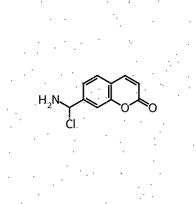 NC(Cl)c1ccc2ccc(=O)oc2c1